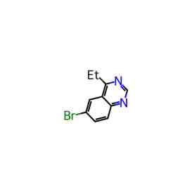 CCc1ncnc2ccc(Br)cc12